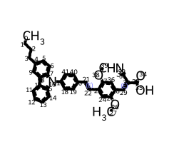 CCCCc1ccc2c(c1)c1ccccc1n2-c1ccc(/C=C/c2cc(OC)c(/C=C(\C#N)C(=O)O)cc2OC)cc1